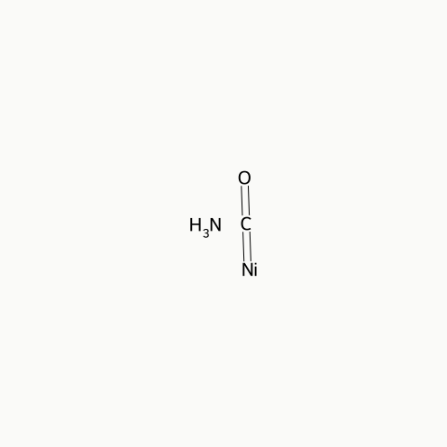 N.O=[C]=[Ni]